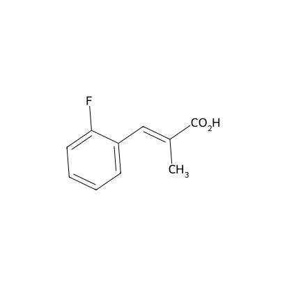 CC(=Cc1ccccc1F)C(=O)O